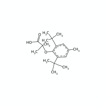 Cc1cc(C(C)(C)C)c(OC(C)(C)C(=O)O)c(C(C)(C)C)c1